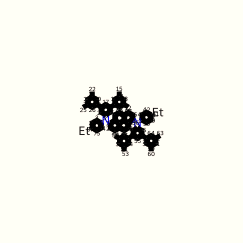 CCc1ccc(N(c2cc(-c3cc(C)cc(C)c3)cc(-c3cc(C)cc(C)c3)c2)c2ccc3ccc4c(N(c5ccc(CC)cc5)c5cc(-c6cc(C)cc(C)c6)cc(-c6cc(C)cc(C)c6)c5)ccc5ccc2c3c54)cc1